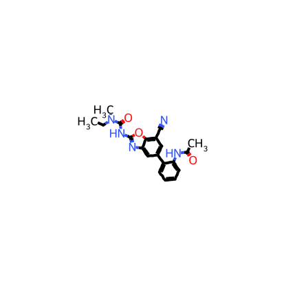 CCN(C)C(=O)Nc1nc2cc(-c3ccccc3NC(C)=O)cc(C#N)c2o1